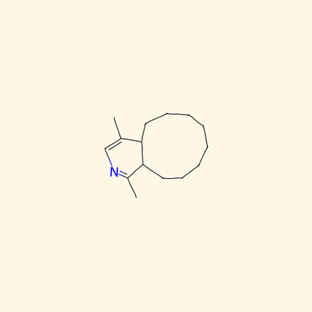 CC1=CN=C(C)C2CCCCCCCCC12